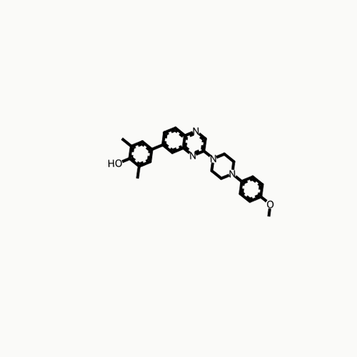 COc1ccc(N2CCN(c3cnc4ccc(-c5cc(C)c(O)c(C)c5)cc4n3)CC2)cc1